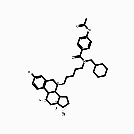 CC(=O)Nc1ccc(C(=O)N(CCCCC[C@@H]2Cc3cc(O)ccc3C3C2C2CC[C@H](O)[C@@]2(C)C[C@@H]3F)CC2CCCCC2)cc1